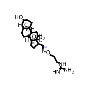 C[C@]12CCC(O)CC1CC[C@@H]1[C@H]2CC[C@]2(C)C(/C=N/OCCCNC(=N)N)CC[C@@]12O